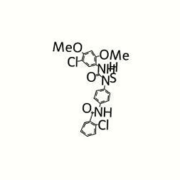 COc1cc(OC)c(NC(=O)N(S)c2ccc(NC(=O)c3ccccc3Cl)cc2)cc1Cl